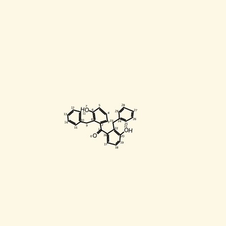 O=C(c1cccc(O)c1Cc1ccccc1)c1cccc(O)c1Cc1ccccc1